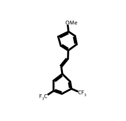 COc1ccc(C=Cc2cc(C(F)(F)F)cc(C(F)(F)F)c2)cc1